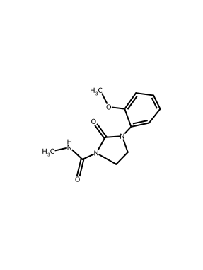 CNC(=O)N1CCN(c2ccccc2OC)C1=O